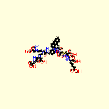 O=C(O)CCCC[C@H](NC(=O)N[C@@H](CSC[C@H](NC(=O)[C@H](Cc1c2ccccc2cc2ccccc12)NC(=O)[C@H]1CC[C@H](CNC(=O)CN(CCNCC(=O)O)CCN(CCNCC(=O)O)CC(=O)O)CC1)C(=O)O)C(=O)O)C(=O)O